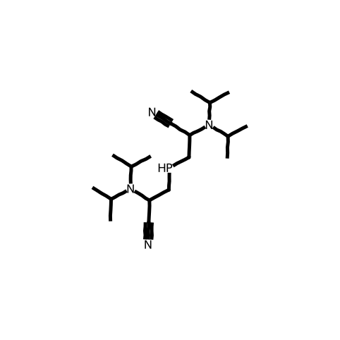 CC(C)N(C(C)C)C(C#N)CPCC(C#N)N(C(C)C)C(C)C